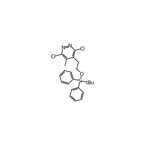 Cc1c(Cl)nnc(Cl)c1CCO[Si](c1ccccc1)(c1ccccc1)C(C)(C)C